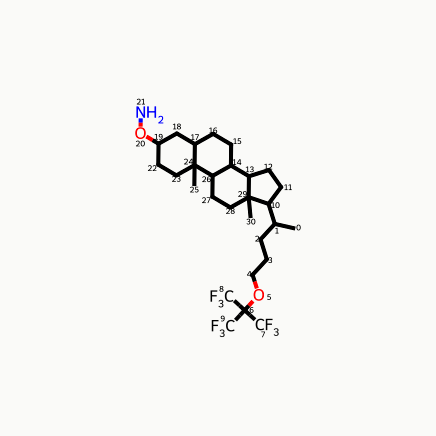 CC(CCCOC(C(F)(F)F)(C(F)(F)F)C(F)(F)F)C1CCC2C3CCC4CC(ON)CCC4(C)C3CCC12C